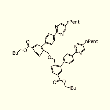 CCCCCc1cnc(-c2ccc(-c3cc(C(=O)OCC(C)CC)ccc3COCc3ccc(C(=O)OCC(C)CC)cc3-c3ccc(-c4ncc(CCCCC)cn4)cc3)cc2)nc1